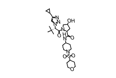 CC(C)(C)[C@@H](C(=O)N1CC(O)CC1C(=O)NC1CCN(S(=O)(=O)C2CCOCC2)CC1)n1cc(C2CC2)nn1